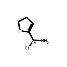 CC[C@H](N)C1=CCCO1